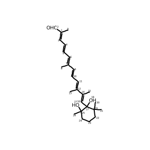 C\C(C=O)=C/C=C/C=C(C)/C=C/C=C(C)/C(C)=C/C1(O)C(C)(C)CCCC1(C)O